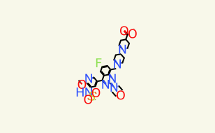 COC(=O)C1CCN(C2CCN(Cc3cc(F)cc4c(-c5cnc(OC)c(NS(C)(=O)=O)c5)nc(N5CCOCC5)nc34)CC2)CC1